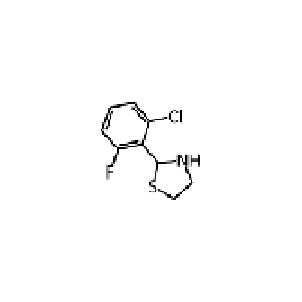 Fc1cccc(Cl)c1C1NCCS1